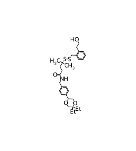 CCC1(CC)COC(c2ccc(CNC(=O)CCC(C)(C)SSCc3ccccc3CCO)cc2)CO1